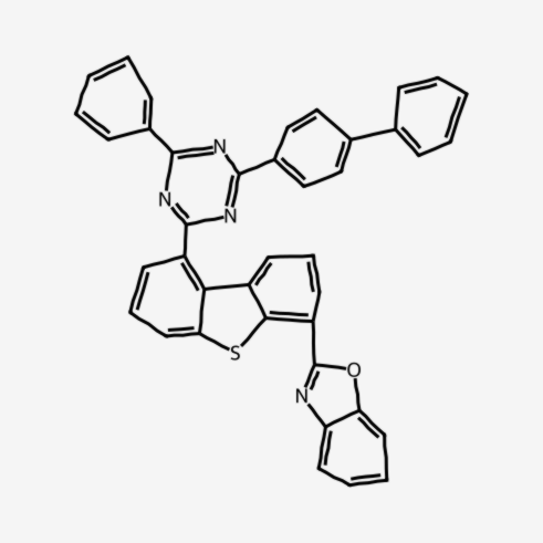 c1ccc(-c2ccc(-c3nc(-c4ccccc4)nc(-c4cccc5sc6c(-c7nc8ccccc8o7)cccc6c45)n3)cc2)cc1